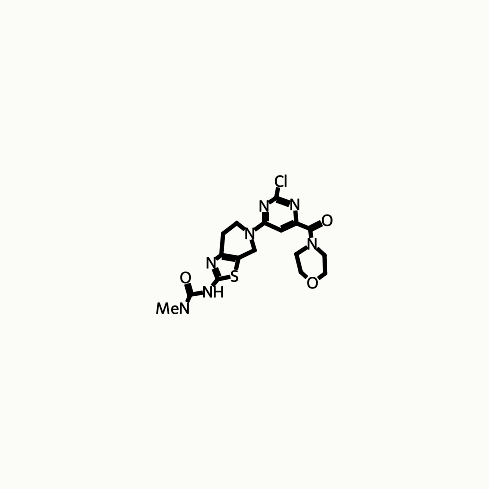 CNC(=O)Nc1nc2c(s1)CN(c1cc(C(=O)N3CCOCC3)nc(Cl)n1)CC2